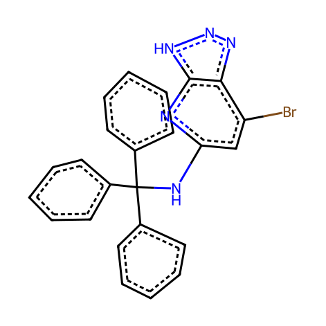 Brc1cc(NC(c2ccccc2)(c2ccccc2)c2ccccc2)nc2[nH]nnc12